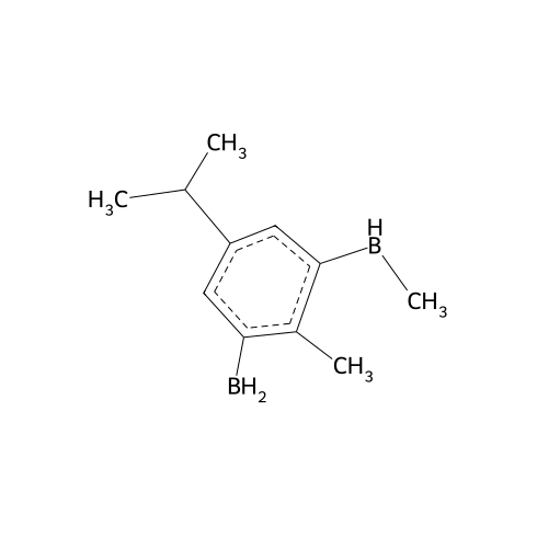 Bc1cc(C(C)C)cc(BC)c1C